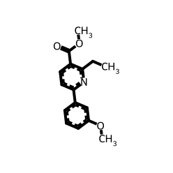 CCc1nc(-c2cccc(OC)c2)ccc1C(=O)OC